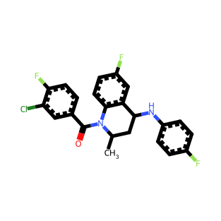 CC1CC(Nc2ccc(F)cc2)c2cc(F)ccc2N1C(=O)c1ccc(F)c(Cl)c1